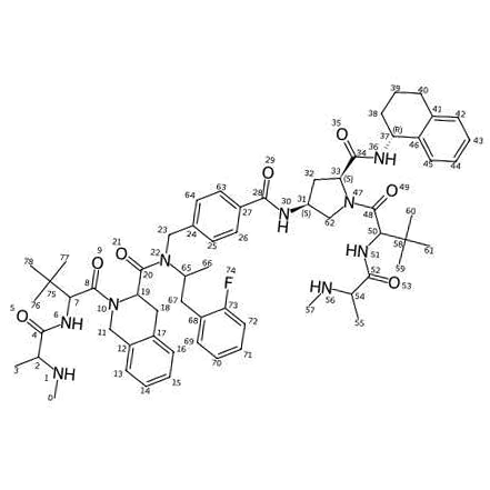 CNC(C)C(=O)NC(C(=O)N1Cc2ccccc2CC1C(=O)N(Cc1ccc(C(=O)N[C@H]2C[C@@H](C(=O)N[C@@H]3CCCc4ccccc43)N(C(=O)C(NC(=O)C(C)NC)C(C)(C)C)C2)cc1)C(C)Cc1ccccc1F)C(C)(C)C